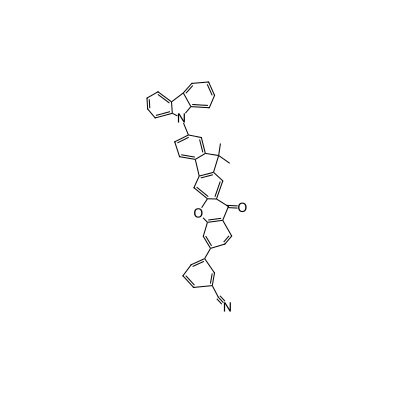 CC1(C)c2cc(-n3c4ccccc4c4ccccc43)ccc2-c2cc3oc4cc(-c5cccc(C#N)c5)ccc4c(=O)c3cc21